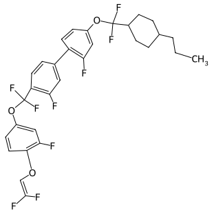 CCCC1CCC(C(F)(F)Oc2ccc(-c3ccc(C(F)(F)Oc4ccc(OC=C(F)F)c(F)c4)c(F)c3)c(F)c2)CC1